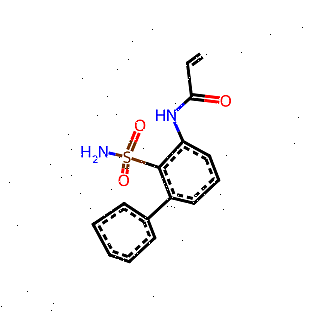 C=CC(=O)Nc1cccc(-c2ccccc2)c1S(N)(=O)=O